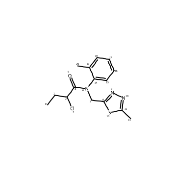 CCC(Cl)C(=O)N(Cc1nnc(C)s1)c1ccccc1C